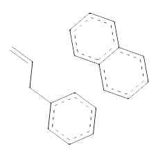 C=CCc1ccccc1.c1ccc2ccccc2c1